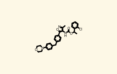 Cc1noc(-c2ccc(Cc3ccc(N4CCOCC4)cc3)cc2)c1NC(=O)OC(C)c1ccccc1Cl